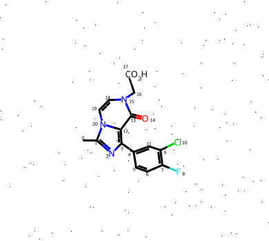 Cc1nc(-c2ccc(F)c(Cl)c2)c2c(=O)n(CC(=O)O)ccn12